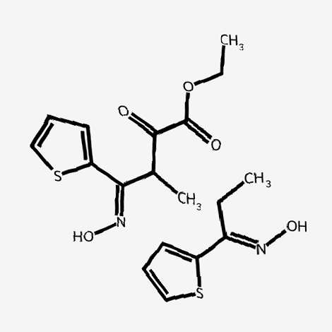 CC/C(=N\O)c1cccs1.CCOC(=O)C(=O)C(C)/C(=N/O)c1cccs1